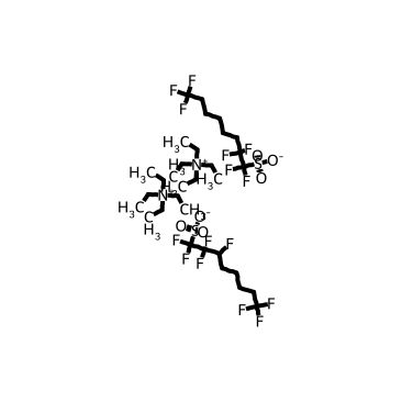 CC[N+](CC)(CC)CC.CC[N+](CC)(CC)CC.O=S(=O)([O-])C(F)(F)C(F)(F)C(F)CCCCC(F)(F)F.O=S(=O)([O-])C(F)(F)C(F)(F)CCCCCC(F)(F)F